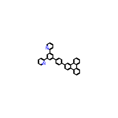 c1ccc(-c2cc(-c3ccc(-c4ccc5c6ccccc6c6ccccc6c5c4)cc3)cc(-c3ccccn3)c2)nc1